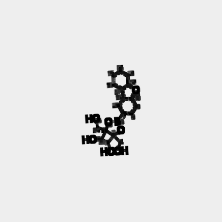 OCC1(CO)OB(c2ccc3oc4ccccc4c3c2)OC1(CO)CO